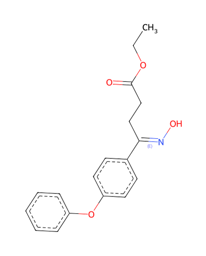 CCOC(=O)CC/C(=N\O)c1ccc(Oc2ccccc2)cc1